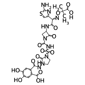 CC(C)(O/N=C(/C(=O)NC1CN(C(=O)NS(=O)(=O)N2CCN(NC(=O)c3cc(O)c(O)cc3C(=O)O)C2=O)C1=O)c1csc(N)n1)C(=O)O